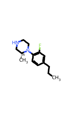 CCCc1ccc(N2CCNC[C@H]2C)c(F)c1